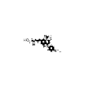 CCC(=O)N1c2cc(/C=C/CNC(=O)O)ccc2[C@H](Nc2ccc(N)cc2)C[C@@H]1C